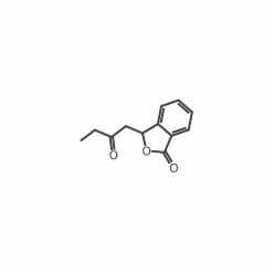 CCC(=O)CC1OC(=O)c2ccccc21